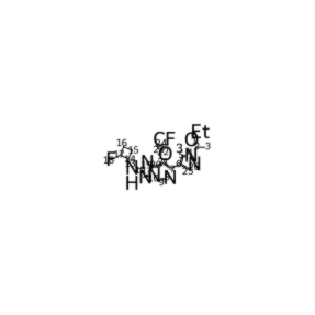 CCOC(C)n1cc(-c2ncn3nc(NC4CCC4F)nc3c2OCC(F)(F)F)cn1